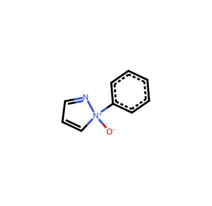 [O-][N+]1(c2ccccc2)C=CC=N1